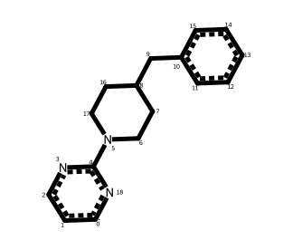 [c]1ccnc(N2CCC(Cc3ccccc3)CC2)n1